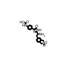 N[C@@H](Cc1ccc2c(c1)CS(=O)(=O)C2)c1nc(-c2ccc(NC(=O)O)cc2)c(Cl)[nH]1